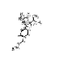 CC(C)C(C)(C)C(O[SiH](C)C)c1ccc(CCCBr)cc1